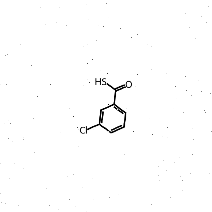 O=C(S)c1cccc(Cl)c1